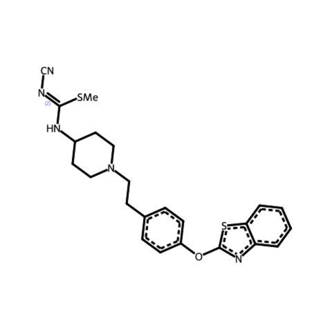 CS/C(=N\C#N)NC1CCN(CCc2ccc(Oc3nc4ccccc4s3)cc2)CC1